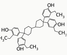 CCc1cc(C2(c3ccc(O)c(CC)c3)CCC(C3CCC(c4ccc(O)c(CC)c4)(c4ccc(O)c(CC)c4)CC3)CC2)ccc1O